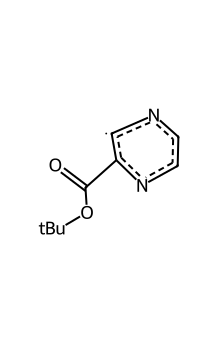 CC(C)(C)OC(=O)c1[c]nccn1